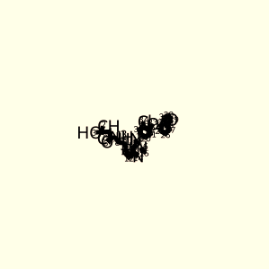 CC(C)(O)CC(=O)NCCn1ccc2ncnc(Nc3ccc(Oc4cccc5occc45)c(Cl)c3)c21